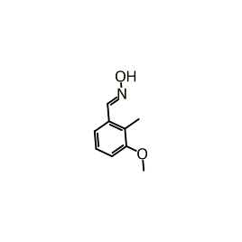 COc1cccc(C=NO)c1C